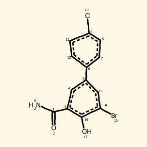 NC(=O)c1cc(-c2ccc(Cl)cc2)cc(Br)c1O